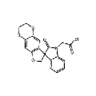 CCC(=O)CN1C(=O)C2(COc3cc4c(cc32)OCCO4)c2ccccc21